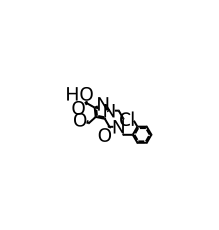 O=Cc1c(C(=O)O)nn2c1C(=O)N(Cc1ccccc1Cl)CC2